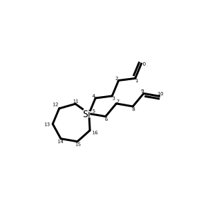 C=CCCC[Si]1(CCCC=C)CCCCCC1